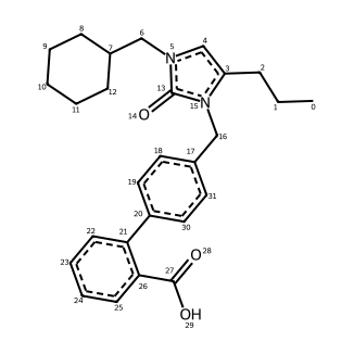 CCCc1cn(CC2CCCCC2)c(=O)n1Cc1ccc(-c2ccccc2C(=O)O)cc1